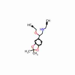 C#CCNCC(OCC#C)c1ccc2c(c1)OC(C)(C)O2